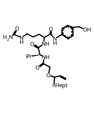 C=CC(CCCCCCC)OCC(=O)N[C@H](C(=O)NC(CCCNC(N)=O)C(=O)Nc1ccc(CO)cc1)C(C)C